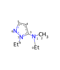 CCN(C)c1ccnn1CC